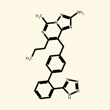 CCCc1nc(C)n2nc(N)nc2c1Cc1ccc(-c2ccccc2-c2nnn[nH]2)cc1